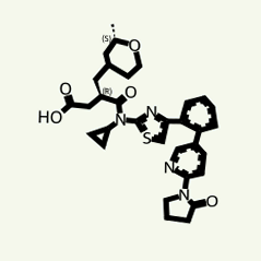 C[C@H]1CC(C[C@H](CC(=O)O)C(=O)N(c2nc(-c3ccccc3-c3ccc(N4CCCC4=O)nc3)cs2)C2CC2)CCO1